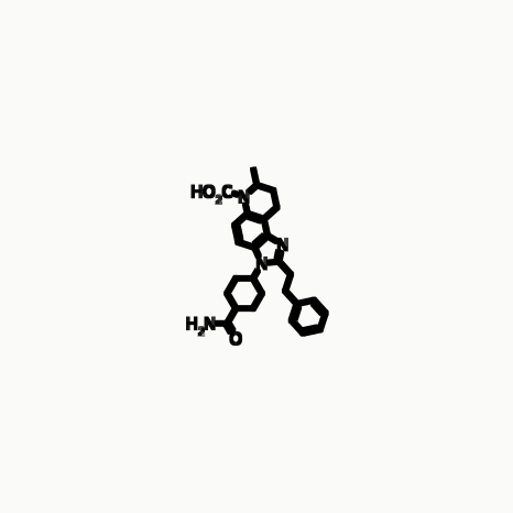 CC1CCc2c(ccc3c2nc(CCc2ccccc2)n3C2CCC(C(N)=O)CC2)N1C(=O)O